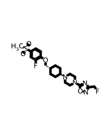 CS(=O)(=O)c1ccc(OC[C@H]2CC[C@H](N3CCN(c4nc(CF)no4)CC3)CC2)c(F)c1